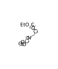 CCOC(=O)C(C)Oc1cccc(CCCn2ccc3cc(OS(C)(=O)=O)ccc32)c1